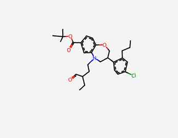 CCCc1cc(Cl)ccc1C1COc2ccc(C(=O)OC(C)(C)C)cc2N(CCC(C=O)CC)C1